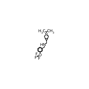 CC(C)N1CC2C(CNCc3cccc(OC(F)(F)F)c3)C2C1